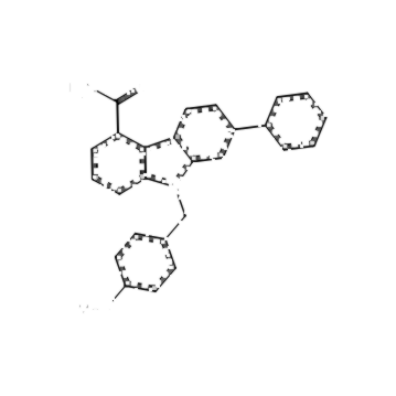 COc1ccc(Cn2c3cc(-c4ccccc4)c[c]c3c3c(C(N)=O)cccc32)cc1